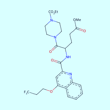 CCOC(=O)N1CCN(C(=O)C(CCC(=O)OC)NC(=O)c2cc(OCCC(F)(F)F)c3ccccc3n2)CC1